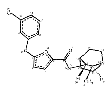 C[C@H]1[C@H](NC(=O)c2ccc(Oc3cccc(Cl)c3)o2)C2CCN1CC2